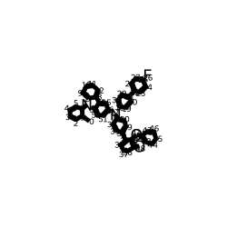 CC1C=CC=CC1n1c2ccccc2c2cc(N(c3ccc(-c4ccc(F)cc4)cc3)c3ccc(-c4cccc5c4OC4=C(CCC=C4)O5)cc3)ccc21